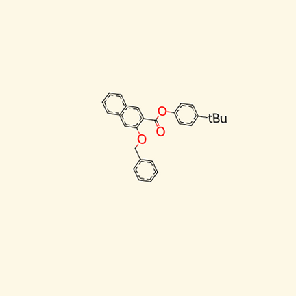 CC(C)(C)c1ccc(OC(=O)c2cc3ccccc3cc2OCc2ccccc2)cc1